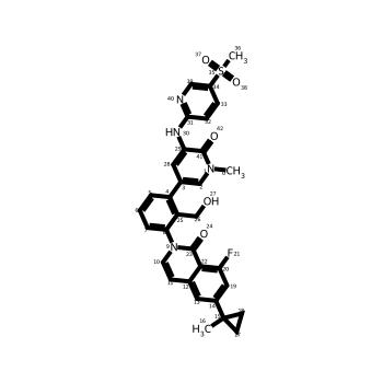 Cn1cc(-c2cccc(-n3ccc4cc(C5(C)CC5)cc(F)c4c3=O)c2CO)cc(Nc2ccc(S(C)(=O)=O)cn2)c1=O